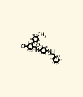 Cc1ccc(-c2cc(Cl)ccc2C(=O)Nc2ccc(NCCc3ccccn3)cc2)cc1